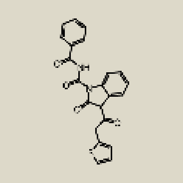 O=C(NC(=O)N1C(=O)C(C(=O)Cc2cccs2)c2ccccc21)c1ccccc1